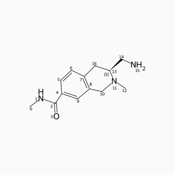 CNC(=O)c1ccc2c(c1)CN(C)[C@H](CN)C2